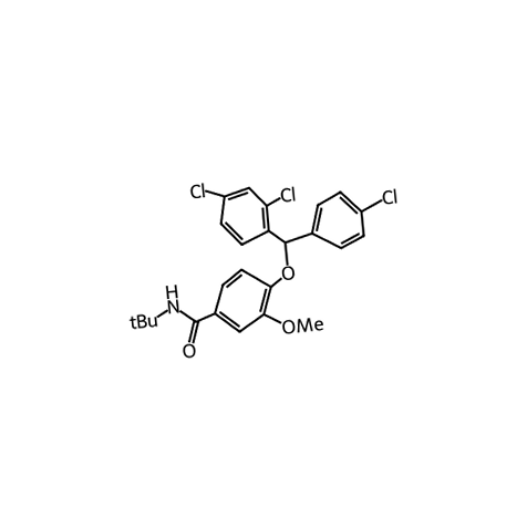 COc1cc(C(=O)NC(C)(C)C)ccc1OC(c1ccc(Cl)cc1)c1ccc(Cl)cc1Cl